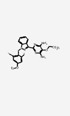 CCOc1cc(F)c(Cn2nc(-c3nc(N)c(OCC(=O)O)c(N)n3)c3ccccc32)c(F)c1